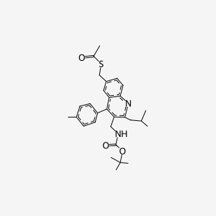 CC(=O)SCc1ccc2nc(CC(C)C)c(CNC(=O)OC(C)(C)C)c(-c3ccc(C)cc3)c2c1